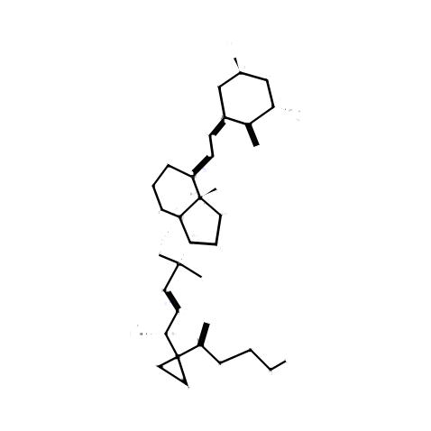 C=C1/C(=C\C=C2/CCC[C@]3(C)[C@@H](C(C)(C)/C=C/[C@@H](O)C4(C(=O)CCCC)CC4)CC[C@@H]23)C[C@@H](O)C[C@@H]1O